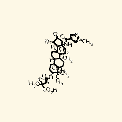 CC(C)C1=C2[C@H]3CC[C@@H]4[C@@]5(C)CC[C@H](OC(=O)CC(C)(C)C(=O)O)C(C)(C)[C@@H]5CC[C@@]4(C)[C@]3(C)CC[C@@]2(NC(=O)c2cnn(C)c2)CC1=O